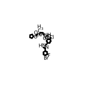 CC(CCNS(=O)(=O)c1cc(-c2nc(-c3ccc(Br)c(F)c3)c[nH]2)ccc1Cl)NC(=O)OC1CCCC1